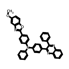 COc1ccc2oc(-c3ccc(N(c4ccccc4)c4ccc(-c5nc6ccccc6nc5-c5ccccc5)cc4)cc3)nc2c1